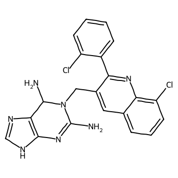 NC1=Nc2[nH]cnc2C(N)N1Cc1cc2cccc(Cl)c2nc1-c1ccccc1Cl